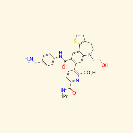 CCCNC(=O)c1ccc(-c2cc3c(cc2C(=O)Nc2ccc(CN)cc2)-c2sccc2CCN3CCO)c(C(=O)O)n1